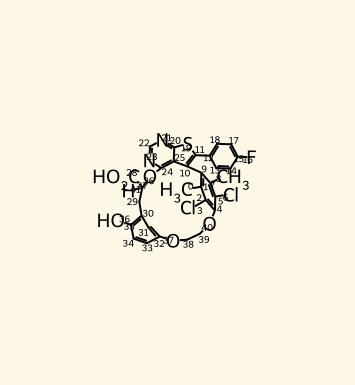 Cc1c(Cl)c2c(Cl)c(C)c1-c1c(-c3ccc(F)cc3)sc3ncnc(c13)O[C@@H](C(=O)O)Cc1cc(ccc1O)OCCO2